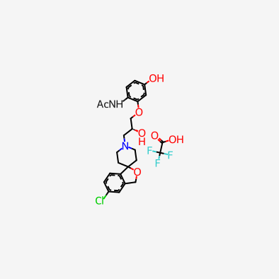 CC(=O)Nc1ccc(O)cc1OC[C@@H](O)CN1CCC2(CC1)OCc1cc(Cl)ccc12.O=C(O)C(F)(F)F